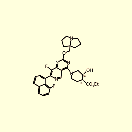 CCOC(=O)[C@H]1CCN(c2nc(OCC34CCCN3CCC4)nc3c(F)c(-c4cccc5cccc(F)c45)ncc23)C[C@H]1O